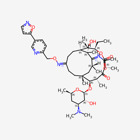 CC[C@H]1OC(=O)[C@H](C)C(=O)[C@H](C)[C@@H](O[C@@H]2O[C@H](C)C[C@H](N(C)C)[C@H]2O)[C@]2(C)CC/C(=N/OCc3ccc(-c4ccno4)cn3)CC[C@H]([C@@H](C)/C(=N/C(C)=O)[C@H](C)C2)[C@]1(C)O